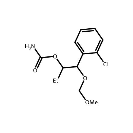 CCC(OC(N)=O)C(OCOC)c1ccccc1Cl